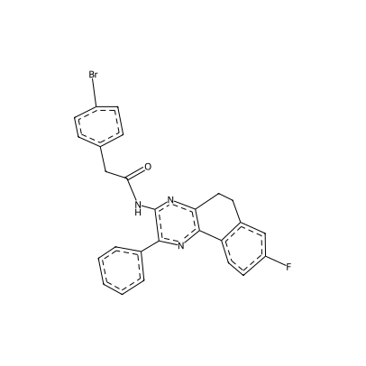 O=C(Cc1ccc(Br)cc1)Nc1nc2c(nc1-c1ccccc1)-c1ccc(F)cc1CC2